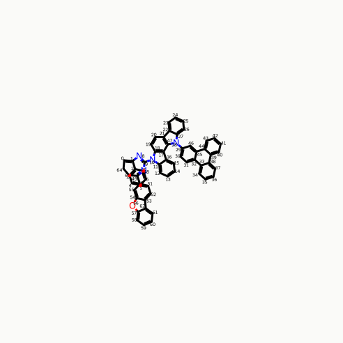 C1=C(c2ccccc2)/N=C(n2c3ccccc3c3c2ccc2c4ccccc4n(-c4ccc5c6ccccc6c6ccccc6c5c4)c23)\N=C(\c2ccc3c(c2)oc2ccccc23)CC/1